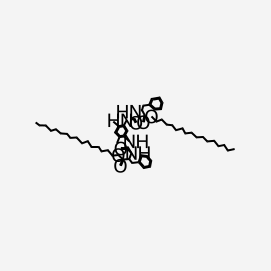 CCCCCCCCCCCCCCCCOC(=O)C(Cc1ccccc1)NC(=O)Nc1cc(NC(=O)NC(Cc2ccccc2)C(=O)OCCCCCCCCCCCCCCCC)c(C)cc1C